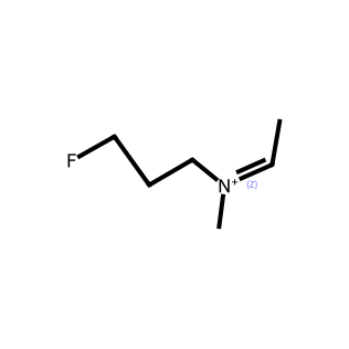 C/C=[N+](/C)CCCF